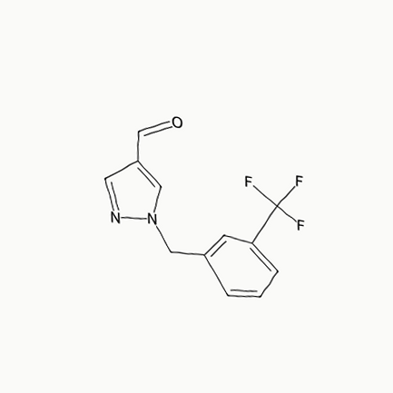 O=Cc1cnn(Cc2cccc(C(F)(F)F)c2)c1